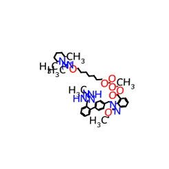 CCOc1nc2cccc(C(=O)OC(C)OC(=O)OCCCCCCCO/N=[N+](\C)N3[C@H](C)CCC[C@@H]3C)c2n1Cc1ccc(-c2ccccc2C2=NNN(C)N2)cc1